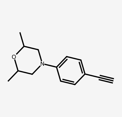 C#Cc1ccc(N2CC(C)OC(C)C2)cc1